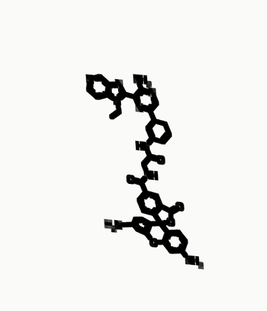 CCn1c(-c2nc(C3C=C(NC(=O)CNC(=O)c4ccc5c(c4)C(=O)OC54c5ccc(N)cc5Oc5cc(N)ccc54)C=CC3)cnc2N)nc2cnccc21